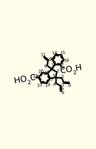 C=CCC1(CC=C)CC(CC=C)(c2ccccc2C(=O)O)c2cc(C(=O)O)ccc21